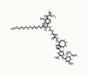 CCCOCCOCCOCCOCCC(=O)N[C@H](CCCCNC(=O)COC1CCCCCc2c1nnn2[C@@H]1C[C@@H](O)[C@H](O[C@@H]2C[C@@H](O)C[C@@H](CO)O2)[C@@H](CO)O1)C(=O)N[C@H](C(=O)N[C@@H](C)C(C)=O)C(C)C